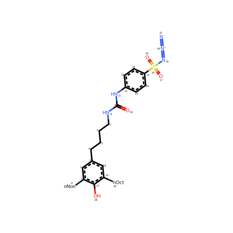 CCCCCCCCCc1cc(CCCCNC(=O)Nc2ccc(S(=O)(=O)N=[N+]=[N-])cc2)cc(CCCCCCCC)c1O